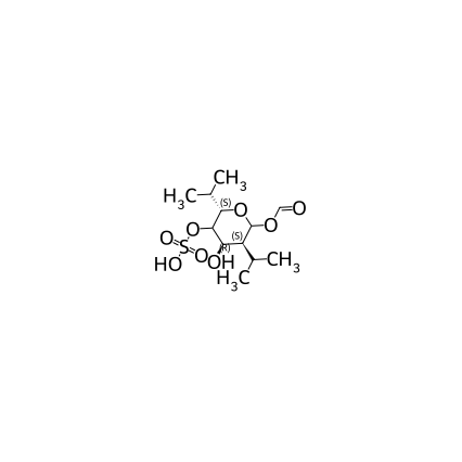 CC(C)[C@@H]1OC(OC=O)[C@@H](C(C)C)[C@@H](O)C1OS(=O)(=O)O